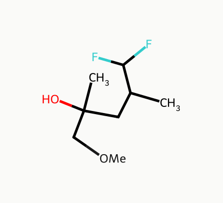 COCC(C)(O)CC(C)C(F)F